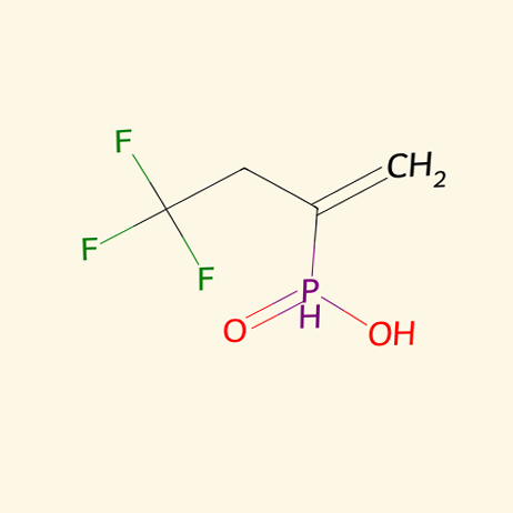 C=C(CC(F)(F)F)[PH](=O)O